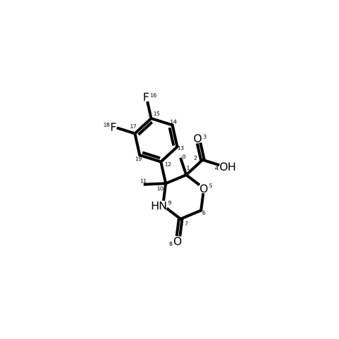 CC1(C(=O)O)OCC(=O)NC1(C)c1ccc(F)c(F)c1